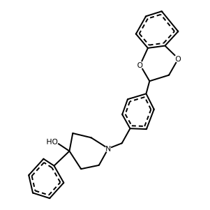 OC1(c2ccccc2)CCN(Cc2ccc(C3COc4ccccc4O3)cc2)CC1